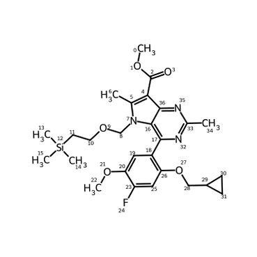 COC(=O)c1c(C)n(COCC[Si](C)(C)C)c2c(-c3cc(OC)c(F)cc3OCC3CC3)nc(C)nc12